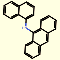 c1ccc2c(Nc3c4ccccc4cc4ccccc34)cccc2c1